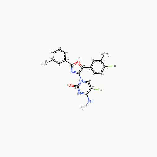 CNc1nc(=O)n(-c2nc(-c3cccc(C)c3)oc2-c2ccc(F)c(C)c2)cc1F